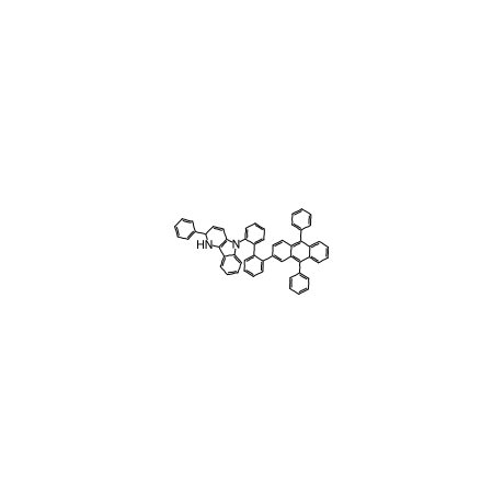 C1=CC(c2ccccc2)Nc2c1n(-c1ccccc1-c1ccccc1-c1ccc3c(-c4ccccc4)c4ccccc4c(-c4ccccc4)c3c1)c1ccccc21